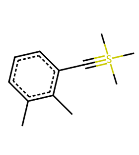 Cc1cccc(C#S(C)(C)C)c1C